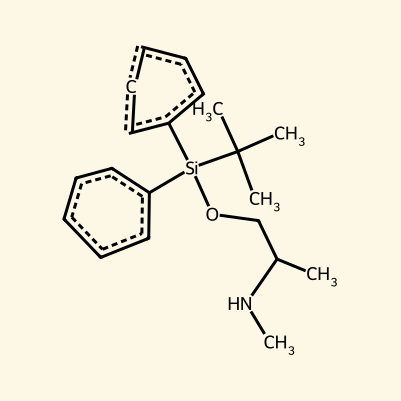 CNC(C)CO[Si](c1ccccc1)(c1ccccc1)C(C)(C)C